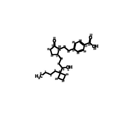 CCCCC1(C(O)CC[C@H]2CCC(=O)N2CCc2ccc(C(=O)O)cc2)CCC1